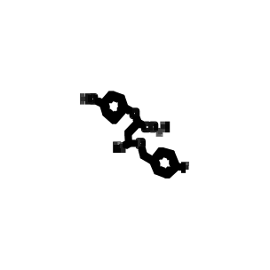 CCC(CC(Oc1ccc(O)cc1)C(=O)O)OCc1ccc(F)cc1